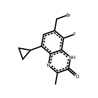 Cc1nc2c(C3CC3)cc(CBr)c(F)c2[nH]c1=O